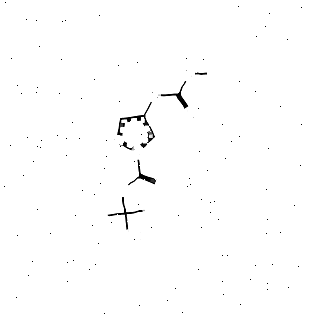 CNC(=N)Nc1cnn(C(=O)OC(C)(C)C)c1